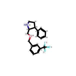 FC(F)(F)c1cccc(COCC2NCCC2c2ccccc2)c1